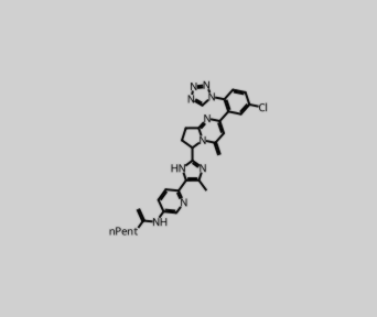 C=C(CCCCC)Nc1ccc(-c2[nH]c(C3CCC4=NC(c5cc(Cl)ccc5-n5cnnn5)=CC(=C)N43)nc2C)nc1